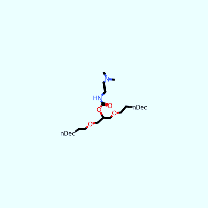 CCCCCCCCCCCCOCC(COCCCCCCCCCCCC)OC(=O)NCCN(C)C